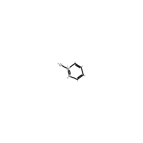 [O-][n+]1[c]cccn1